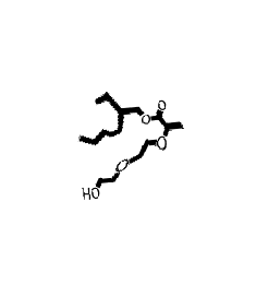 C=C(OCCOCCO)C(=O)OCC(CC)CCCC